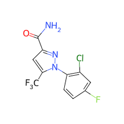 NC(=O)c1cc(C(F)(F)F)n(-c2ccc(F)cc2Cl)n1